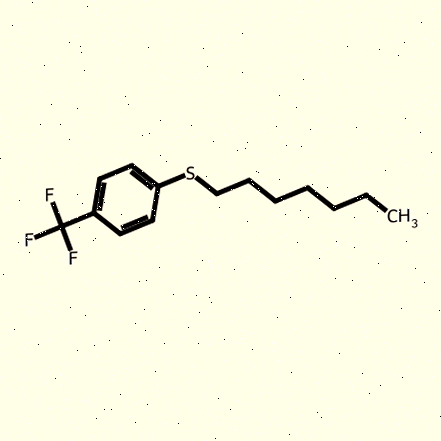 CCCCCCCSc1ccc(C(F)(F)F)cc1